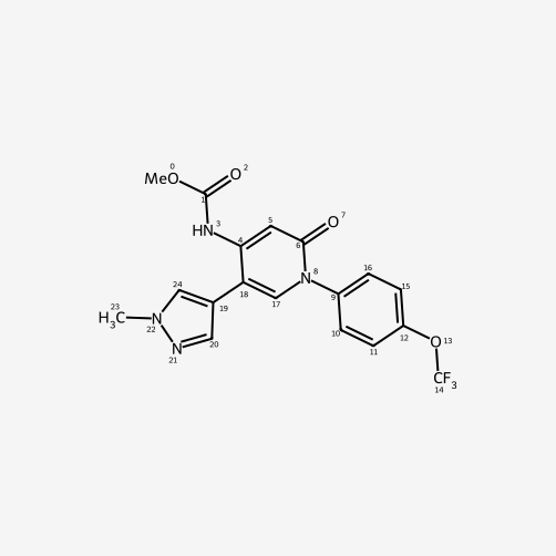 COC(=O)Nc1cc(=O)n(-c2ccc(OC(F)(F)F)cc2)cc1-c1cnn(C)c1